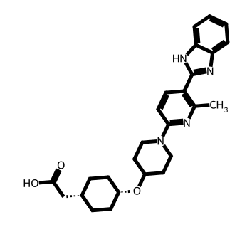 Cc1nc(N2CCC(O[C@H]3CC[C@@H](CC(=O)O)CC3)CC2)ccc1-c1nc2ccccc2[nH]1